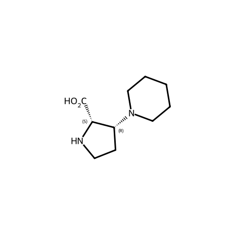 O=C(O)[C@H]1NCC[C@H]1N1CCCCC1